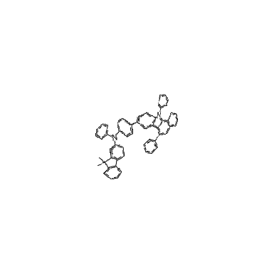 CC1(C)c2ccccc2-c2ccc(N(c3ccccc3)c3ccc(-c4ccc5c(c4)c4c(-c6ccccc6)cc6ccccc6c4n5-c4ccccc4)cc3)cc21